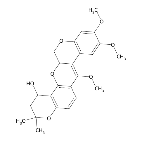 COC1=C2c3cc(OC)c(OC)cc3OCC2Oc2c1ccc1c2C(O)CC(C)(C)O1